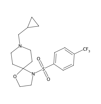 O=S(=O)(c1ccc(C(F)(F)F)cc1)N1CCOC12CCN(CC1CC1)CC2